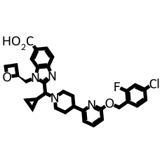 O=C(O)c1ccc2nc(C(C3CC3)N3CCC(c4cccc(OCc5ccc(Cl)cc5F)n4)CC3)n(C[C@@H]3CCO3)c2c1